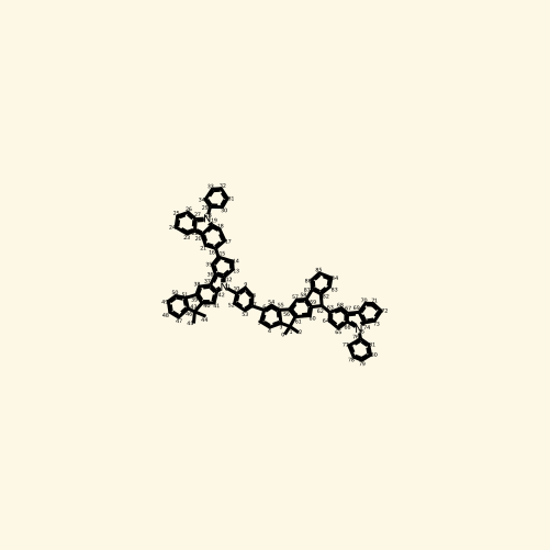 CC1(C)c2ccc(-c3ccc(-n4c5ccc(-c6ccc7c(c6)c6ccccc6n7-c6ccccc6)cc5c5cc6c(cc54)C(C)(C)c4ccccc4-6)cc3)cc2-c2cc3c(cc21)C(c1ccc2c(c1)c1ccccc1n2-c1ccccc1)c1ccccc1-3